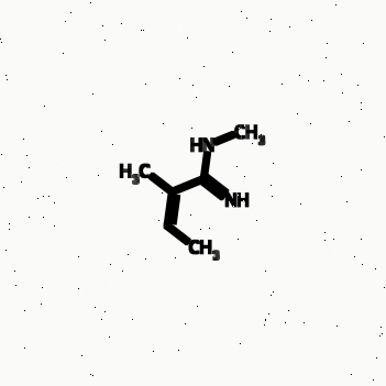 CC=C(C)C(=N)NC